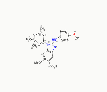 COc1cc2c(cc1C(=O)O)nc(Nc1ccc(OC(C)C)cc1)n2[C@H]1C[C@@H](C)CC(C)(C)C1